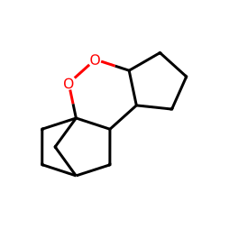 C1CC2OOC34CCC(CC3C2C1)C4